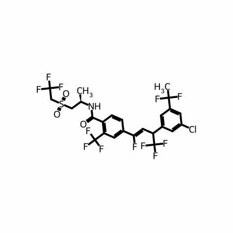 C[C@H](CS(=O)(=O)CC(F)(F)F)NC(=O)c1ccc(/C(F)=C/C(c2cc(Cl)cc(C(C)(F)F)c2)C(F)(F)F)cc1C(F)(F)F